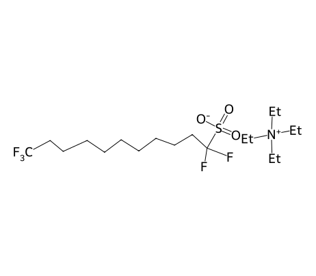 CC[N+](CC)(CC)CC.O=S(=O)([O-])C(F)(F)CCCCCCCCCC(F)(F)F